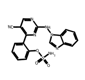 N#Cc1cnc(Nn2cnc3ccccc32)nc1-c1ccccc1OS(N)(=O)=O